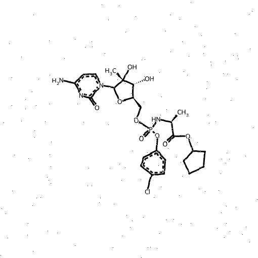 C[C@H](NP(=O)(OC[C@H]1OC(n2ccc(N)nc2=O)[C@](C)(O)[C@@H]1O)Oc1ccc(Cl)cc1)C(=O)OC1CCCC1